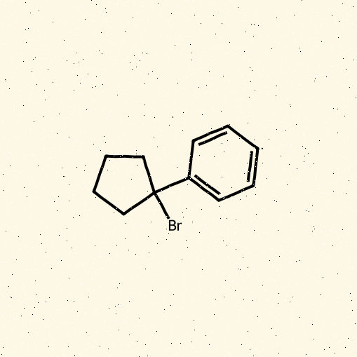 BrC1(c2cc[c]cc2)CCCC1